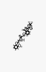 COc1ccccc1OCCNC1S[C@@H]1COc1cccc2c1c(C)nn2C(=O)OC(C)(C)C